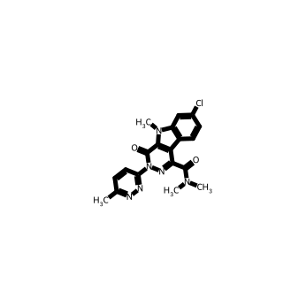 Cc1ccc(-n2nc(C(=O)N(C)C)c3c4ccc(Cl)cc4n(C)c3c2=O)nn1